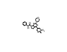 C=C(N)/N=C\C(=C/C)c1nc(N2CCOCC2)nc2c1CCN2C(=O)Nc1ccccc1